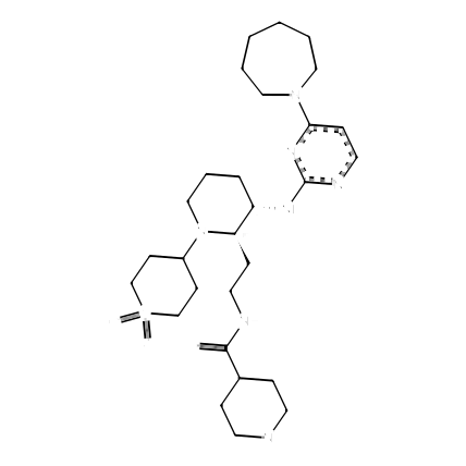 O=C(NCC[C@@H]1[C@@H](Nc2nccc(N3CCCCCC3)n2)CCCN1C1CCS(=O)(=O)CC1)C1CCNCC1